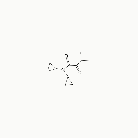 CC(C)C(=O)C(=O)N(C1CC1)C1CC1